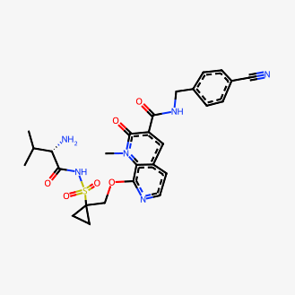 CC(C)[C@H](N)C(=O)NS(=O)(=O)C1(COc2nccc3cc(C(=O)NCc4ccc(C#N)cc4)c(=O)n(C)c23)CC1